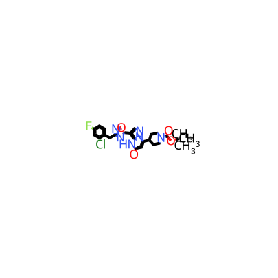 CC(C)(C)OC(=O)N1CCC(c2cc(=O)[nH]c3c(-c4nc(Cc5ccc(F)cc5Cl)no4)cnn23)CC1